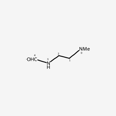 CNCCN[C]=O